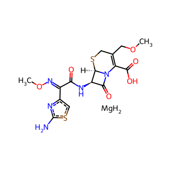 COCC1=C(C(=O)O)N2C(=O)[C@@H](NC(=O)/C(=N/OC)c3csc(N)n3)[C@H]2SC1.[MgH2]